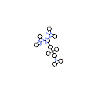 c1ccc([Si](c2ccccc2)(c2ccc(-c3cc(-n4c5ccccc5n5c6ccccc6nc45)nc(-n4c5ccccc5n5c6ccccc6nc45)n3)cc2)c2ccc(-n3c4ccccc4c4ccccc43)cc2)cc1